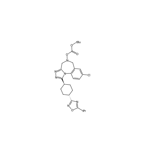 CC(C)c1nc([C@H]2CC[C@H](c3nnc4n3-c3ccc(Cl)cc3CN(OC(=O)OC(C)(C)C)C4)CC2)no1